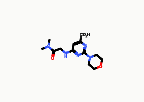 CN(C)C(=O)CNc1cc(C(=O)O)nc(N2CCOCC2)n1